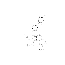 CC(Oc1cnc2c(c1)c(SC(C)(C)C)c(CC(C)(C)C(=O)O)n2Cc1ccc(-c2ccc(C(F)(F)F)cn2)cc1)c1ccccn1